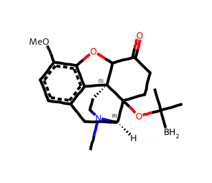 BC(C)(C)OC12CCC(=O)C3Oc4c(OC)ccc5c4[C@@]31CCN(C)[C@@H]2C5